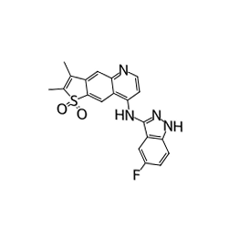 CC1=C(C)S(=O)(=O)c2cc3c(Nc4n[nH]c5ccc(F)cc45)ccnc3cc21